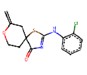 C=C1CC2(CCO1)SC(Nc1ccccc1Cl)=NC2=O